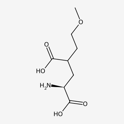 COCCC(C[C@H](N)C(=O)O)C(=O)O